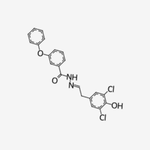 O=C(N/N=C/Cc1cc(Cl)c(O)c(Cl)c1)c1cccc(Oc2ccccc2)c1